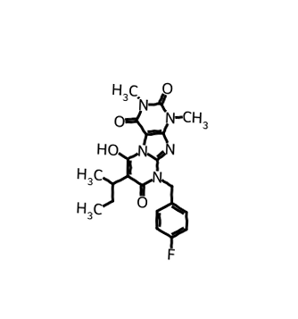 CCC(C)c1c(O)n2c3c(=O)n(C)c(=O)n(C)c3nc2n(Cc2ccc(F)cc2)c1=O